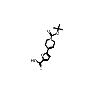 CC(C)(C)OC(=O)N1CC=C(c2ccc(C(=O)O)o2)CC1